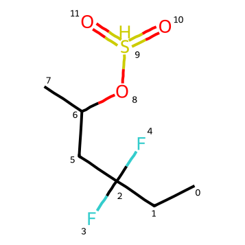 CCC(F)(F)CC(C)O[SH](=O)=O